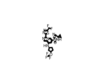 N#CC1(NS(=O)(=O)c2cc(NC3CCC(OC(F)(F)F)C3)c3cnc(-c4nnc(C(F)F)s4)n3c2)CC1